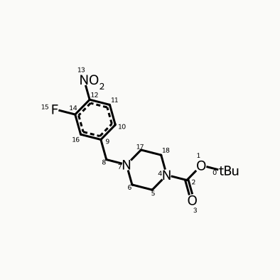 CC(C)(C)OC(=O)N1CCN(Cc2ccc([N+](=O)[O-])c(F)c2)CC1